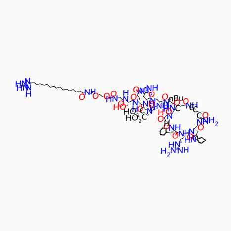 CCCC[C@H](NC(=O)[C@H](CNC(=O)[C@H](Cc1c[nH]cn1)NC(=O)[C@H](CCC(N)=O)NC(=O)[C@H](CO)NC(=O)CNC(=O)COCCOCCNC(=O)CCCCCCCCCCCCCCCC1=NNNN1)NC(=O)CN(CC(=O)O)CC(=O)O)C(=O)N[C@H]1CCC(=O)NCCCC[C@@H](C(N)=O)NC(=O)[C@H](Cc2c[nH]c3ccccc23)NC(=O)[C@H](CCCNC(=N)N)NC(=O)[C@@H](Cc2ccccc2)NC(=O)[C@@H]2C[C@@H](O)CN2C1=O